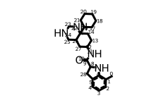 Cc1cccc2c1NC(C(=O)NC1CCC3(C4CCCCC4)NCNCC3C1)C2